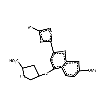 COc1ccc2c(OC3CNC(C(=O)O)C3)cc(-c3nc(C(C)C)cs3)nc2c1